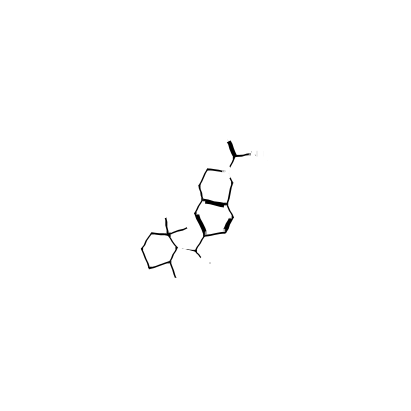 CC1CCCC(C)(C)[C@H]1C(O)c1ccc2c(c1)CCN(C(N)=O)C2